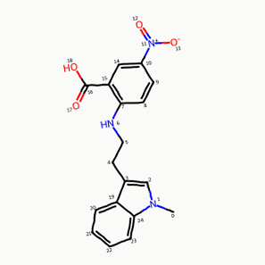 Cn1cc(CCNc2ccc([N+](=O)[O-])cc2C(=O)O)c2ccccc21